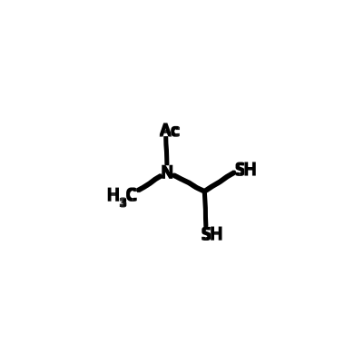 CC(=O)N(C)C(S)S